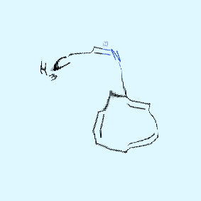 C/C=N\c1ccccc1